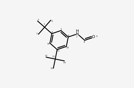 CC(C)(C)c1cc(N[C]=O)cc(C(C)(C)C)c1